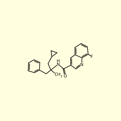 CC(Cc1ccccc1)(CC1CC1)NC(=O)c1cnc2c(F)cccc2c1